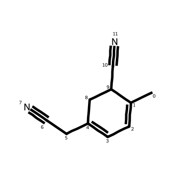 CC1=CC=C(CC#N)CC1C#N